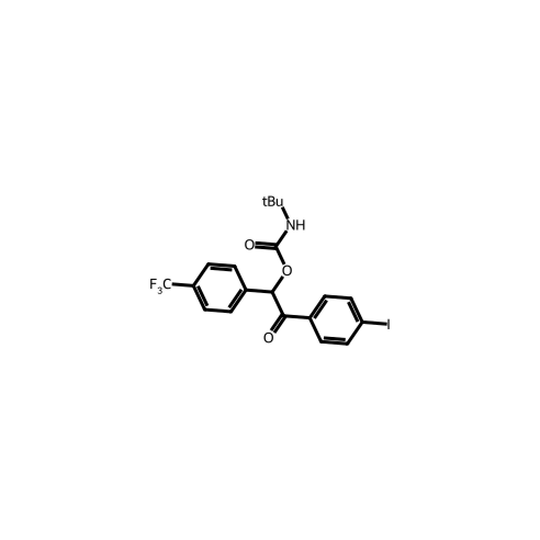 CC(C)(C)NC(=O)OC(C(=O)c1ccc(I)cc1)c1ccc(C(F)(F)F)cc1